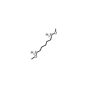 CO[SiH2]CCCCC[SiH2]OC